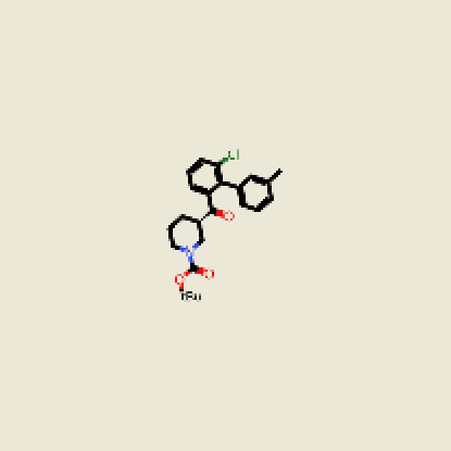 Cc1cccc(-c2c(Cl)cccc2C(=O)[C@@H]2CCCN(C(=O)OC(C)(C)C)C2)c1